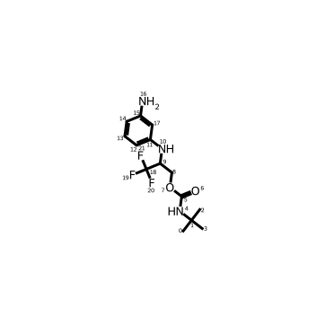 CC(C)(C)NC(=O)OCC(Nc1cccc(N)c1)C(F)(F)F